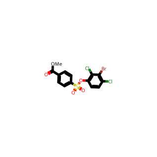 COC(=O)c1ccc(S(=O)(=O)Oc2ccc(Cl)c(Br)c2Cl)cc1